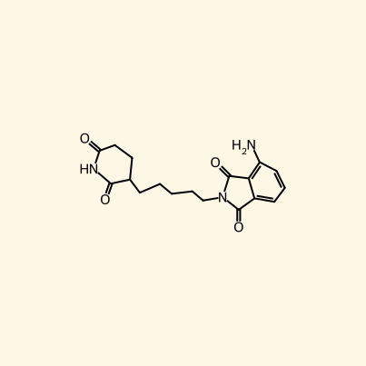 Nc1cccc2c1C(=O)N(CCCCCC1CCC(=O)NC1=O)C2=O